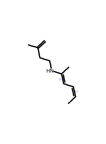 C=C(C)CCN/C(C)=C/C=C\C